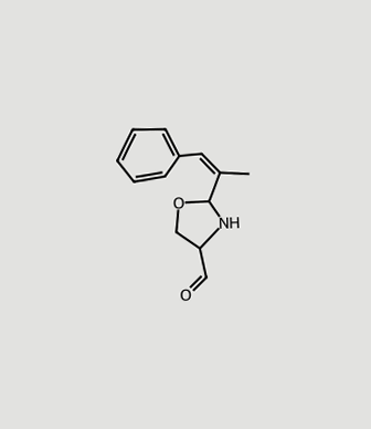 CC(=Cc1ccccc1)C1NC(C=O)CO1